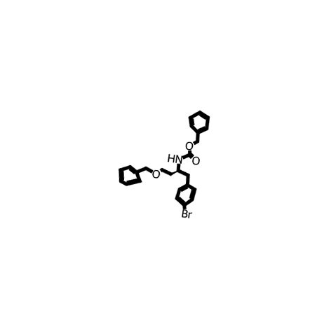 O=C(N[C@H](CCOCc1ccccc1)Cc1ccc(Br)cc1)OCc1ccccc1